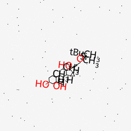 CC(C)(C)[Si](C)(C)OCC#C[C@]1(O)[C@H]2C[C@H]2C2C3C(CC[C@@]21C)[C@@]1(C)CC[C@H](O)C[C@@]1(O)[C@@H]1C[C@H]31